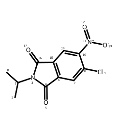 CC(C)N1C(=O)c2cc(Cl)c([N+](=O)[O-])cc2C1=O